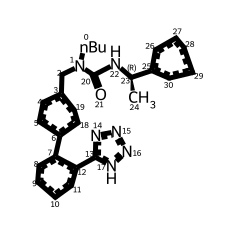 CCCCN(Cc1ccc(-c2ccccc2-c2nnn[nH]2)cc1)C(=O)N[C@H](C)c1ccccc1